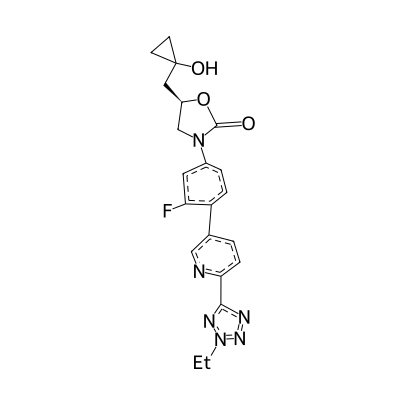 CCn1nnc(-c2ccc(-c3ccc(N4C[C@@H](CC5(O)CC5)OC4=O)cc3F)cn2)n1